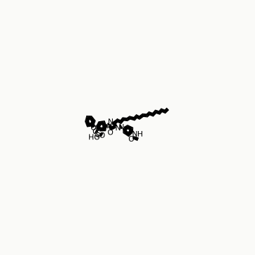 CCCCCCCCCCCCCCCCCC1=NN(c2ccc(Oc3ccccc3)c(S(=O)(=O)O)c2)C(=O)C1/N=N/c1ccc(NC(C)=O)cc1